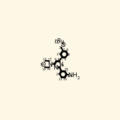 CC(C)(C)OCc1cccc(-c2cc(N3CCOCC3)nc(-c3cccc(N)c3)n2)c1